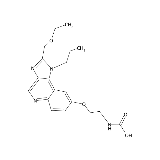 CCCn1c(COCC)nc2cnc3ccc(OCCNC(=O)O)cc3c21